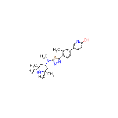 Cc1cc(-c2ccc(O)nc2)ccc1-c1nnc(N(C)C2CC(C)(C)NC(C)(C)C2)s1